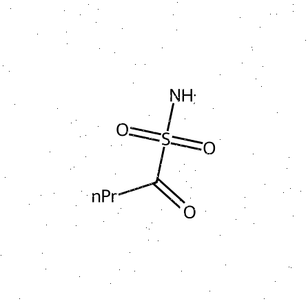 CCCC(=O)S([NH])(=O)=O